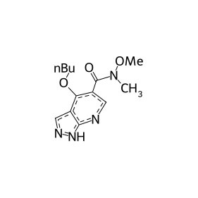 CCCCOc1c(C(=O)N(C)OC)cnc2[nH]ncc12